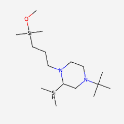 CO[Si](C)(C)CCCN1CCN(C(C)(C)C)CC1[SiH](C)C